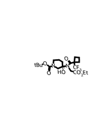 CCOC(=O)CN(C(=O)C1(C(F)(F)F)CCC1)[C@]1(O)CCCN(C(=O)OC(C)(C)C)C1